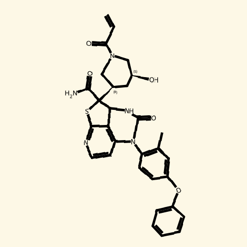 C=CC(=O)N1C[C@@H](O)C[C@@H](C2(C(N)=O)Sc3nccc4c3C2NC(=O)N4c2ccc(Oc3ccccc3)cc2C)C1